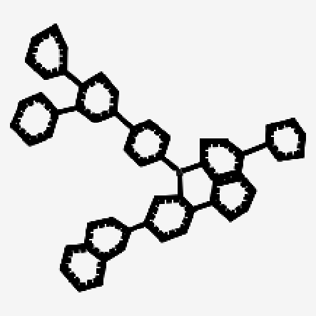 c1ccc(-c2ccc(N(c3ccc(-c4ccc(-c5ccccc5)c(-c5ccccc5)c4)cc3)c3cc(-c4ccc5ccccc5c4)ccc3-c3ccccc3)cc2)cc1